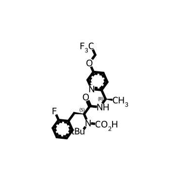 C[C@@H](NC(=O)[C@H](Cc1ccccc1F)N(C(=O)O)C(C)(C)C)c1ccc(OCC(F)(F)F)cn1